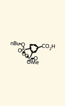 CCCCOS(=O)(=O)c1ccc(C(=O)O)cc1S(=O)(=O)OC